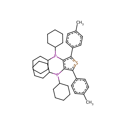 Cc1ccc(-c2sc(-c3ccc(C)cc3)c(P(C3CCCCC3)C3CCCCC3)c2P(C2CCCCC2)C2CCCCC2)cc1